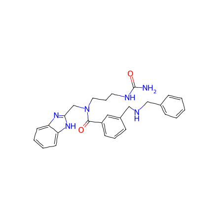 NC(=O)NCCCN(Cc1nc2ccccc2[nH]1)C(=O)c1cccc(CNCc2ccccc2)c1